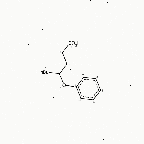 CCCCC(CCC(=O)O)Oc1ccccc1